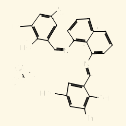 CC(=O)[O-].CC(=O)[O-].Cc1cc(C=Nc2cccc3cccc(N=Cc4cc(C)cc(C(C)C)c4O)c23)c(O)c(C(C)C)c1.[Co+2]